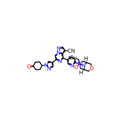 CC(C)(C)CC(=O)N1[C@@H]2COC[C@H]1CN(c1ccc(-c3nc(-c4cnn(C5CCC(=O)CC5)c4)cn4ncc(C#N)c34)cn1)C2